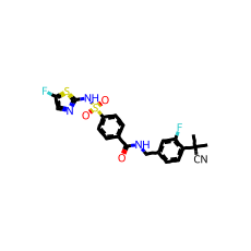 CC(C)(C#N)c1ccc(CNC(=O)c2ccc(S(=O)(=O)Nc3ncc(F)s3)cc2)cc1F